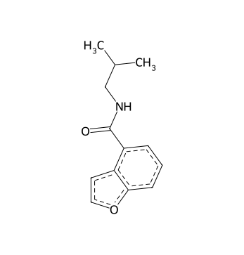 CC(C)CNC(=O)c1cccc2occc12